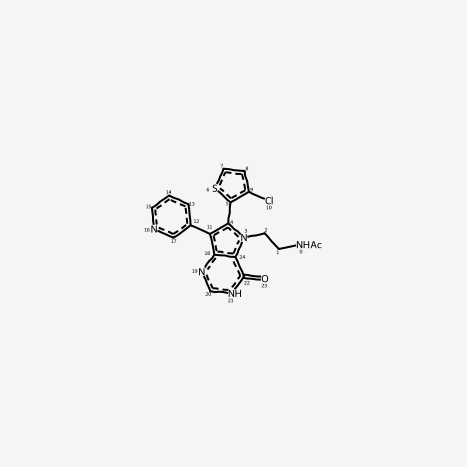 CC(=O)NCCn1c(-c2sccc2Cl)c(-c2cccnc2)c2nc[nH]c(=O)c21